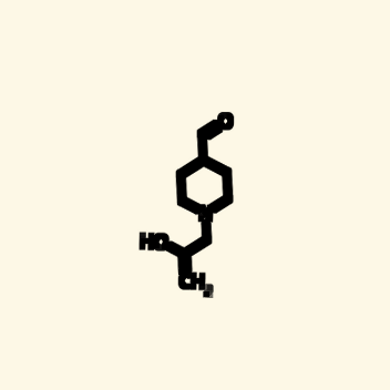 C=C(O)CN1CCC(C=O)CC1